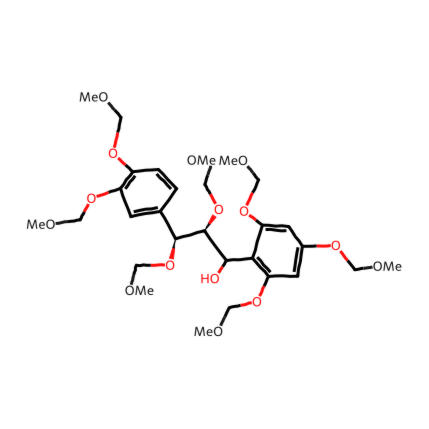 COCOc1cc(OCOC)c(C(O)[C@H](OCOC)[C@@H](OCOC)c2ccc(OCOC)c(OCOC)c2)c(OCOC)c1